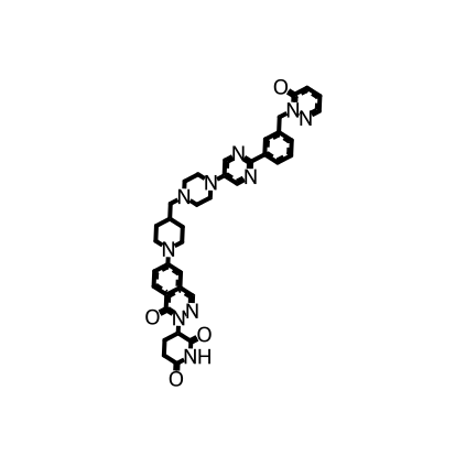 O=C1CCC(n2ncc3cc(N4CCC(CN5CCN(c6cnc(-c7cccc(Cn8ncccc8=O)c7)nc6)CC5)CC4)ccc3c2=O)C(=O)N1